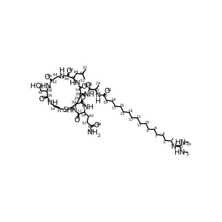 CNC(=NCCCCCCCCCCCCCCCCC(=O)NC(C)C(=O)NC1CC2(CS/C=C\NC(=O)C(CO)NC(=O)CNC(=O)C(CC(C)C)NC1=O)NC(=O)C(CCC(N)=O)NC2=O)NC